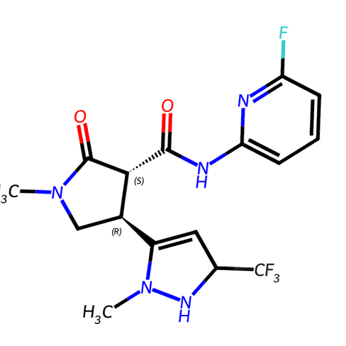 CN1C[C@H](C2=CC(C(F)(F)F)NN2C)[C@@H](C(=O)Nc2cccc(F)n2)C1=O